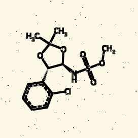 COS(=O)(=O)N[C@@H]1OC(C)(C)O[C@H]1c1ccccc1Cl